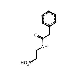 O=C(Cc1ccccc1)NCCS(=O)(=O)O